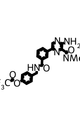 CNC(=O)c1nc(-c2cccc(C(=O)NCc3ccc(OC(=O)C(F)(F)F)cc3)c2)cnc1N